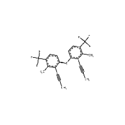 CC#Cc1c(Sc2ccc(C(F)(F)F)c(C)c2C#CC)ccc(C(F)(F)F)c1C